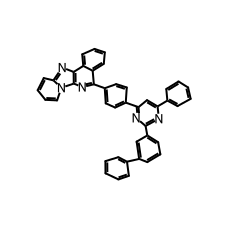 c1ccc(-c2cccc(-c3nc(-c4ccccc4)cc(-c4ccc(-c5nc6c(nc7ccccn76)c6ccccc56)cc4)n3)c2)cc1